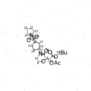 CC(=O)O[C@@H](C(=O)OC(C)(C)C)[C@H]1OCCN(c2ccc(S(=O)(=O)N3CCCC3)cc2)C1=O